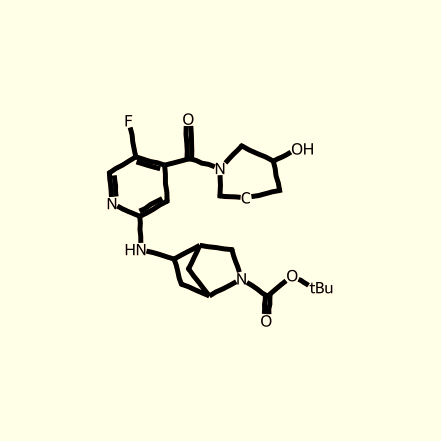 CC(C)(C)OC(=O)N1CC2CC1CC2Nc1cc(C(=O)N2CCCC(O)C2)c(F)cn1